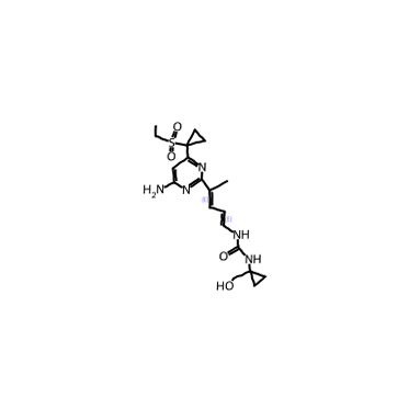 CCS(=O)(=O)C1(c2cc(N)nc(/C(C)=C/C=C/NC(=O)NC3(CO)CC3)n2)CC1